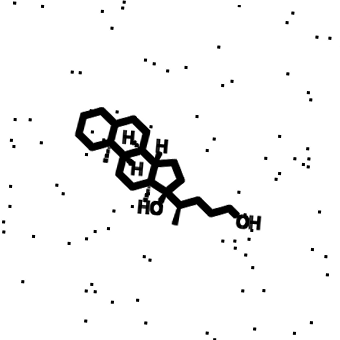 C[C@H](CCCO)[C@@]1(O)CC[C@H]2[C@@H]3CCC4CCCC[C@]4(C)[C@H]3CC[C@@]21C